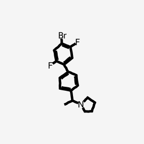 CC(c1ccc(-c2cc(F)c(Br)cc2F)cc1)N1CCCC1